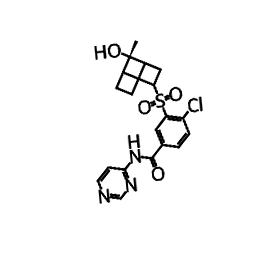 C[C@]1(O)C2CCC23C1CC3S(=O)(=O)c1cc(C(=O)Nc2ccncn2)ccc1Cl